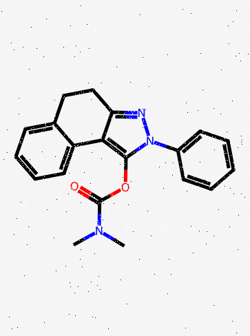 CN(C)C(=O)Oc1c2c(nn1-c1ccccc1)CCc1ccccc1-2